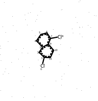 Clc1[c]c2cccc(Cl)c2cc1